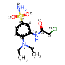 CCN(CC)c1ccc(S(N)(=O)=O)cc1NC(=O)CCl